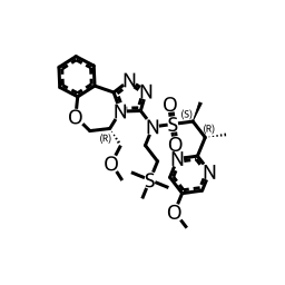 COC[C@@H]1COc2ccccc2-c2nnc(N(CCS(C)(C)C)S(=O)(=O)[C@@H](C)[C@H](C)c3ncc(OC)cn3)n21